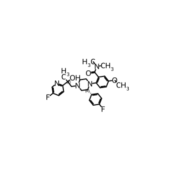 COc1ccc(N2CCN(C[C@@](C)(O)c3ccc(F)cn3)C[C@H]2c2ccc(F)cc2)c(C(=O)N(C)C)c1